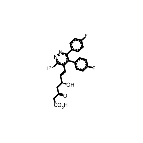 CC(C)c1nnc(-c2ccc(F)cc2)c(-c2ccc(F)cc2)c1/C=C/[C@@H](O)CC(=O)CC(=O)O